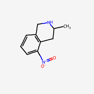 CC1Cc2c(cccc2[N+](=O)[O-])CN1